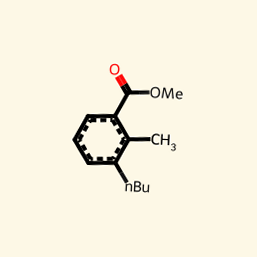 CCCCc1cccc(C(=O)OC)c1C